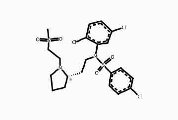 CS(=O)(=O)CCN1CCC[C@H]1CCN(c1cc(Cl)ccc1Cl)S(=O)(=O)c1ccc(Cl)cc1